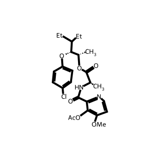 CCC(CC)[C@@H](Oc1ccc(Cl)cc1)[C@H](C)OC(=O)[C@H](C)NC(=O)c1nccc(OC)c1OC(C)=O